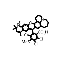 CC[N+]1=c2cc3c(cc2C(C)=CC1(C)C)=C(c1c(Cl)c(SC)c(Cl)c(Cl)c1C(=O)O)c1cc2c4c(c1O3)CCCN4CCCC2